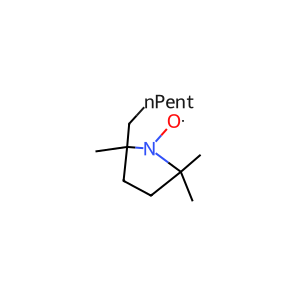 CCCCCCC1(C)CCC(C)(C)N1[O]